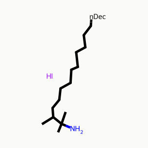 CCCCCCCCCCCCCCCCCCCCC(C)C(C)(C)N.I